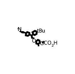 Cc1cc(OCC=C(c2ccc(C#CCN(C)C)cc2)c2ccc(C(C)(C)C)cc2)ccc1OCC(=O)O